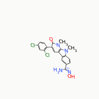 Cn1c(=O)c(-c2ccc(Cl)cc2Cl)cc2c3cc(/C(N)=N/O)ccc3n(C)c21